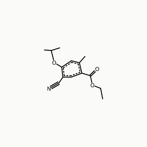 CCOC(=O)c1cc(C#N)c(OC(C)C)cc1C